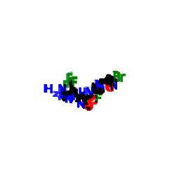 COc1ncc(-c2cc(C(F)(F)F)c3c(N)ncnn23)cc1C(=O)NC1CN(Cc2cc(Br)no2)CC1F